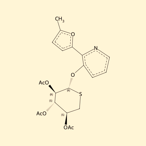 CC(=O)O[C@@H]1[C@@H](OC(C)=O)[C@H](OC(C)=O)CS[C@H]1Oc1cccnc1-c1ccc(C)o1